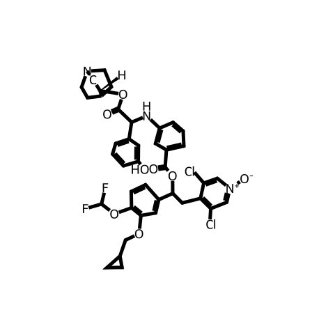 O=C(OC(Cc1c(Cl)c[n+]([O-])cc1Cl)c1ccc(OC(F)F)c(OCC2CC2)c1)c1cccc(NC(C(=O)O[C@H]2CN3CCC2CC3)c2cccc(O)c2)c1